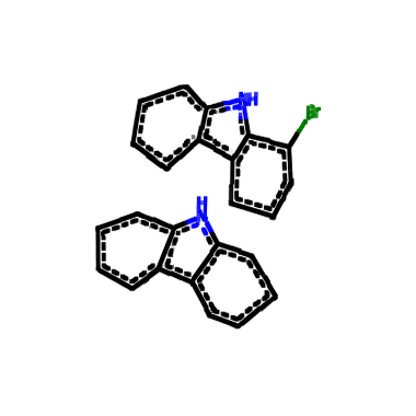 Brc1cccc2c1[nH]c1ccccc12.c1ccc2c(c1)[nH]c1ccccc12